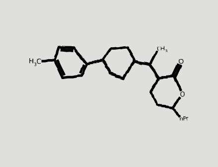 CCCC1CCC(C(C)C2CCC(c3ccc(C)cc3)CC2)C(=O)O1